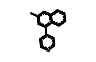 Cc1cc(-c2ccncc2)c2ccccc2c1